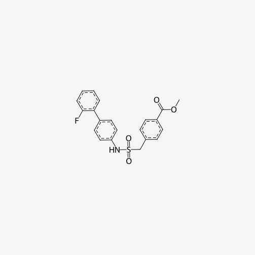 COC(=O)c1ccc(CS(=O)(=O)Nc2ccc(-c3ccccc3F)cc2)cc1